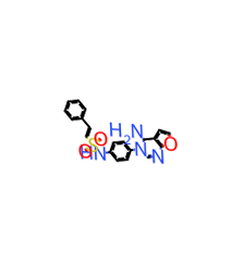 NC1c2ccoc2N=CN1c1ccc(NS(=O)(=O)C=Cc2ccccc2)cc1